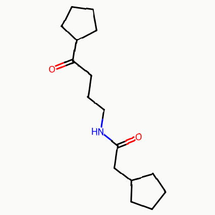 O=C(CC1CCCC1)NCCCC(=O)C1CCCC1